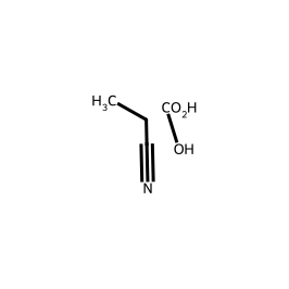 CCC#N.O=C(O)O